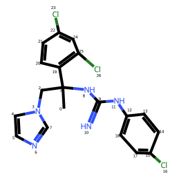 CC(Cn1ccnc1)(NC(=N)Nc1ccc(Cl)cc1)c1ccc(Cl)cc1Cl